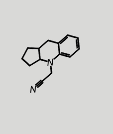 N#CCN1c2ccccc2CC2CCCC21